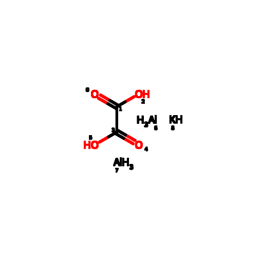 O=C(O)C(=O)O.[AlH3].[AlH3].[KH]